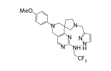 COc1ccc(N2Cc3cnc(NCC(F)(F)F)nc3C3(CCN(Cc4cc[nH]n4)C3)C2)cc1